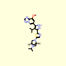 COc1cc(-c2[nH]nc(-c3ncc(N4C[C@@H]5C[C@H]4CN5C(C)C)s3)c2C(C)C)cn2ncnc12